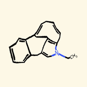 Cn1cc2c3c(cccc31)-c1ccccc1-2